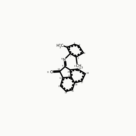 Cc1cccc(C)c1/N=C1/C(=O)c2cccc3cccc1c23